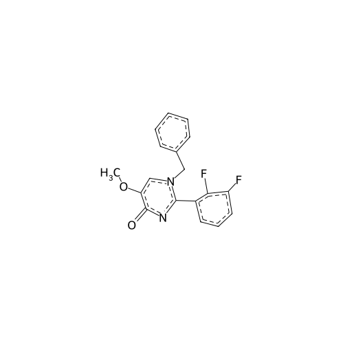 COc1cn(Cc2ccccc2)c(-c2cccc(F)c2F)nc1=O